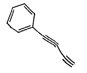 [C]#CC#Cc1ccccc1